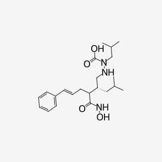 CC(C)C[C@@H](CNN(CC(C)C)C(=O)O)C(C/C=C/c1ccccc1)C(=O)NO